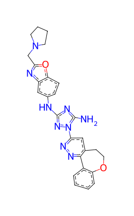 Nc1nc(Nc2ccc3oc(CN4CCCC4)nc3c2)nn1-c1cc2c(nn1)-c1ccccc1OCC2